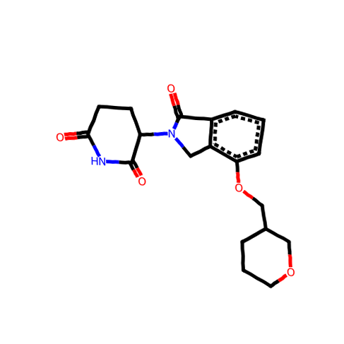 O=C1CCC(N2Cc3c(OCC4CCCOC4)cccc3C2=O)C(=O)N1